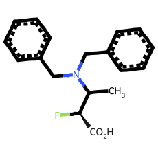 CC([C@H](F)C(=O)O)N(Cc1ccccc1)Cc1ccccc1